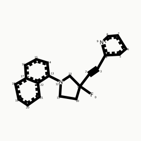 FC1(C#Cc2ccccn2)CCN(c2cccc3ccccc23)C1